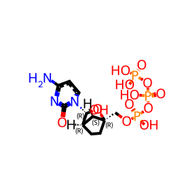 Nc1ccn([C@@H]2O[C@@]3(COP(=O)(O)OP(=O)(O)OP(=O)(O)O)CC[C@@H]2[C@@H]3O)c(=O)n1